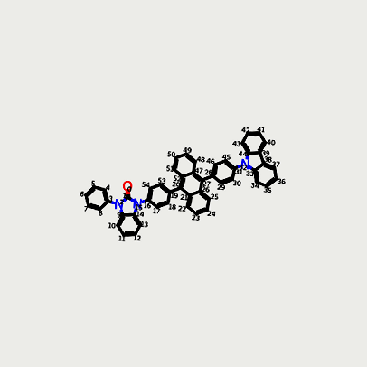 O=c1n(-c2ccccc2)c2ccccc2n1-c1ccc(-c2c3ccccc3c(-c3ccc(-n4c5ccccc5c5ccccc54)cc3)c3ccccc23)cc1